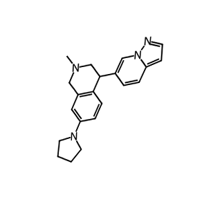 CN1Cc2cc(N3CCCC3)ccc2C(c2ccc3ccnn3c2)C1